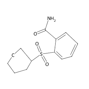 NC(=O)c1ccccc1S(=O)(=O)C1CCCCC1